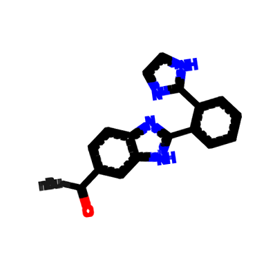 CCCCC(=O)c1ccc2nc(-c3ccccc3-c3ncc[nH]3)[nH]c2c1